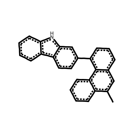 Cc1cc2cccc(-c3ccc4c(c3)[nH]c3ccccc34)c2c2ccccc12